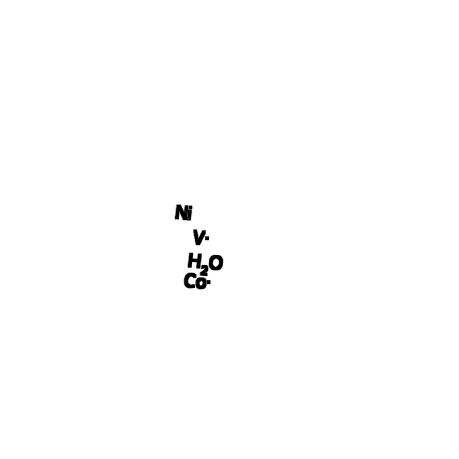 O.[Co].[Ni].[V]